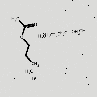 CCCOC(C)=O.Cl.O.O.O.O.O.O.[Fe]